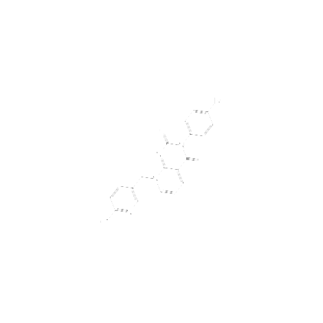 O=c1nc2n(Cc3ccc(Cl)nc3)cccc-2c(=O)n1-c1ccc(Br)cc1